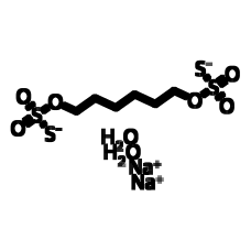 O.O.O=S(=O)([S-])OCCCCCCOS(=O)(=O)[S-].[Na+].[Na+]